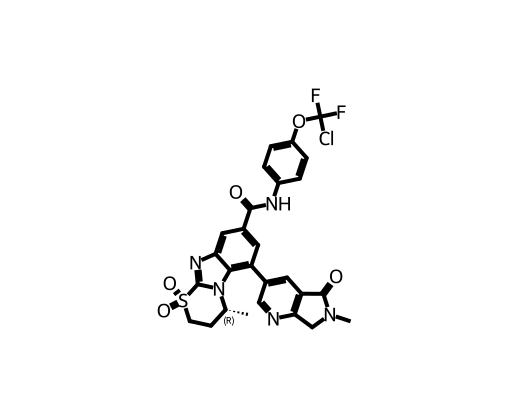 C[C@@H]1CCS(=O)(=O)c2nc3cc(C(=O)Nc4ccc(OC(F)(F)Cl)cc4)cc(-c4cnc5c(c4)C(=O)N(C)C5)c3n21